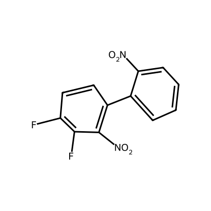 O=[N+]([O-])c1ccccc1-c1ccc(F)c(F)c1[N+](=O)[O-]